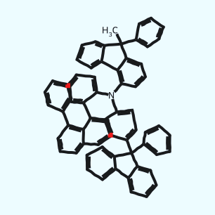 CC1(c2ccccc2)c2ccccc2-c2c(N(c3ccc(C4(c5ccccc5)c5ccccc5-c5ccccc54)cc3)c3ccccc3-c3cccc4cccc(-c5ccccc5)c34)cccc21